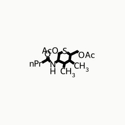 CCCC(=O)NC1C(OC(C)=O)SC(COC(C)=O)C(C)C1C